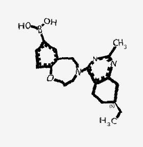 CC[C@H]1CCc2c(nc(C)nc2N2CCOc3ccc(B(O)O)cc3C2)C1